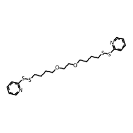 c1ccc(SSCCCCOCCOCCCCSSc2ccccn2)nc1